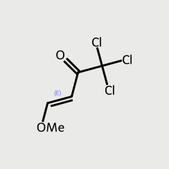 CO/C=C/C(=O)C(Cl)(Cl)Cl